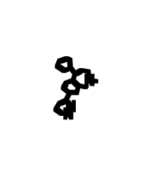 CN1CC=C(c2ccccc2)c2ccc(-c3cccnn3)cc2C1